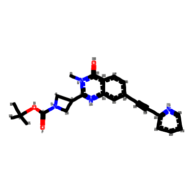 Cn1c(C2CN(C(=O)OC(C)(C)C)C2)nc2cc(C#Cc3ccccn3)ccc2c1=O